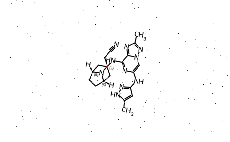 Cc1nc2c(N[C@@H]3C[C@H]4CC[C@@H](C3)N4CCC#N)nc(Nc3cc(C)[nH]n3)cn2n1